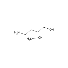 NCCCCO.O[SiH3]